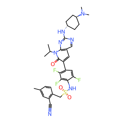 Cc1ccc(CS(=O)(=O)Nc2c(F)cc(-c3cc4cnc(N[C@H]5CC[C@H](N(C)C)CC5)nc4n(C(C)C)c3=O)c(F)c2F)c(C#N)c1